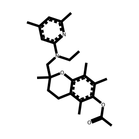 CCN(CC1(C)CCc2c(C)c(OC(C)=O)c(C)c(C)c2O1)c1cc(C)cc(C)n1